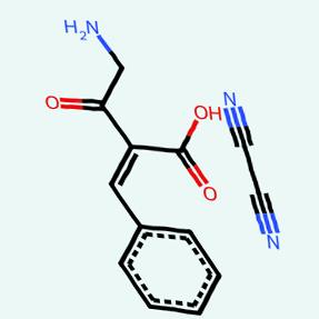 N#CC#N.NCC(=O)C(=Cc1ccccc1)C(=O)O